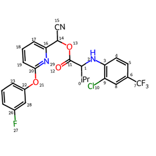 CC(C)C(Nc1ccc(C(F)(F)F)cc1Cl)C(=O)OC(C#N)c1cccc(Oc2cccc(F)c2)n1